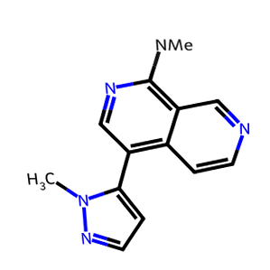 CNc1ncc(-c2ccnn2C)c2ccncc12